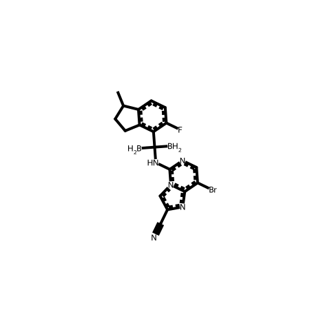 BC(B)(Nc1ncc(Br)c2nc(C#N)cn12)c1c(F)ccc2c1CCC2C